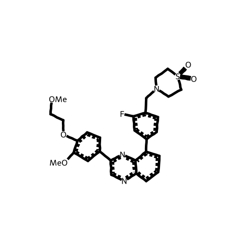 COCCOc1ccc(-c2cnc3cccc(-c4ccc(CN5CCS(=O)(=O)CC5)c(F)c4)c3n2)cc1OC